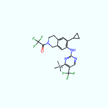 [CH3][Sn]([CH3])([CH3])[c]1nc(Nc2cc3c(cc2C2CC2)CCN(C(=O)C(F)(F)F)C3)ncc1C(F)(F)F